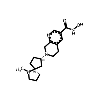 CN1CCC[C@@]12CC[C@H](N1CCc3cc(C(=O)NO)cnc3C1)C2